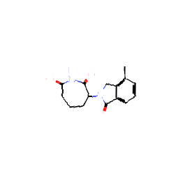 Cc1cccc2c1CN(C1CCCC(=O)NC1=O)C2=O